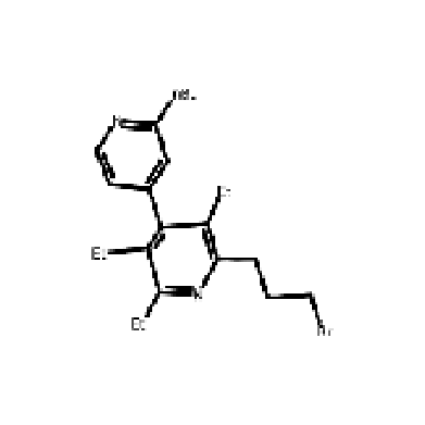 CCCCc1cc(-c2c(CC)c(CC)nc(CCCBr)c2CC)ccn1